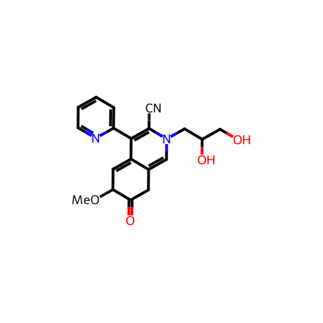 COC1C=C2C(=CN(CC(O)CO)C(C#N)=C2c2ccccn2)CC1=O